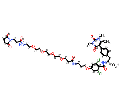 Cc1c(-c2ccc(C[C@H](NC(=O)c3c(Cl)cc(OCCCNC(=O)CCOCCOCCOCCOCCNC(=O)CCN4C(=O)C=CC4=O)cc3Cl)C(=O)O)cc2)c(=O)n(C)c(=O)n1C